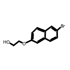 OCCOc1ccc2cc(Br)ccc2c1